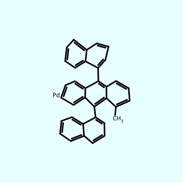 Cc1cccc2c(-c3cccc4ccccc34)c3ccccc3c(-c3cccc4ccccc34)c12.[Pd]